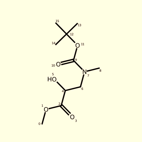 COC(=O)C(O)CN(C)C(=O)OC(C)(C)C